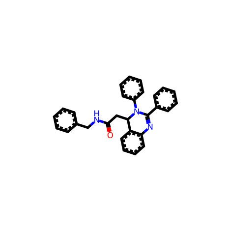 O=C(CC1c2ccccc2N=C(c2ccccc2)N1c1ccccc1)NCc1ccccc1